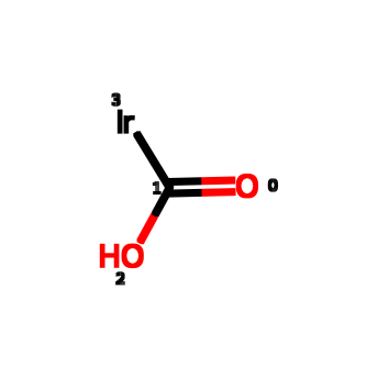 O=[C](O)[Ir]